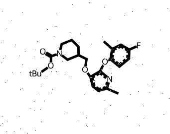 Cc1ccc(OCC2CCCN(C(=O)OC(C)(C)C)C2)c(Oc2ccc(F)cc2C)n1